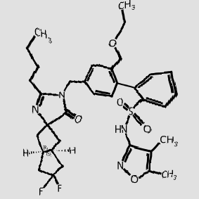 CCCCC1=NC2(C[C@H]3CC(F)(F)C[C@H]3C2)C(=O)N1Cc1ccc(-c2ccccc2S(=O)(=O)Nc2noc(C)c2C)c(COCC)c1